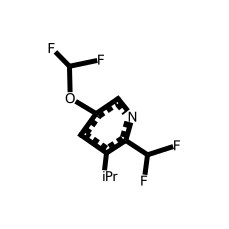 CC(C)c1cc(OC(F)F)cnc1C(F)F